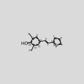 Cc1cc(C=Cc2cccs2)cc(C)c1O